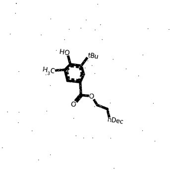 CCCCCCCCCCCCOC(=O)c1cc(C)c(O)c(C(C)(C)C)c1